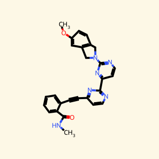 CNC(=O)c1ccccc1C#Cc1ccnc(-c2ccnc(N3Cc4ccc(OC)cc4C3)n2)n1